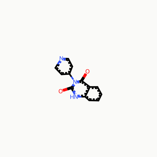 O=c1[nH]c2ccccc2c(=O)n1-c1ccncc1